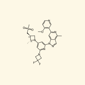 COc1ccncc1-c1cc2c(cnn2-c2cc(N3C[C@H](CS(C)(=O)=O)[C@H]3C)cc(N3CC(F)(F)C3)n2)c(C)n1